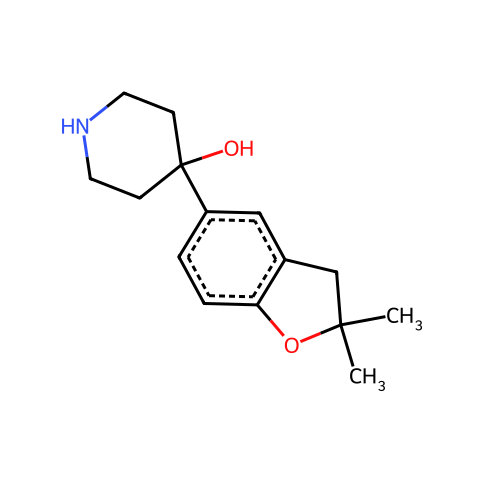 CC1(C)Cc2cc(C3(O)CCNCC3)ccc2O1